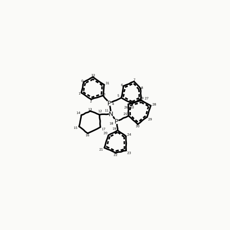 c1ccc(P(c2ccccc2)N(C2CCCCC2)P(c2ccccc2)c2ccccc2)cc1